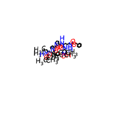 CC(C)CC(/C=C/C(Cc1ccccc1)C(=O)N1CCC[C@H]1C(=O)N1CCC[C@H]1C(=O)NC(CCCNC(=O)OCc1ccccc1)C(=O)NC1CC(C)(C)N(O)C(C)(C)C1)NC(=O)OC(C)(C)C